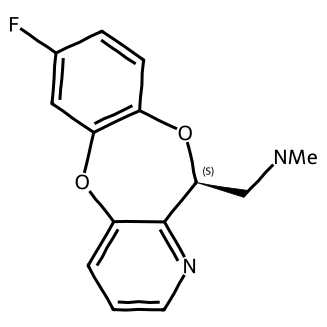 CNC[C@@H]1Oc2ccc(F)cc2Oc2cccnc21